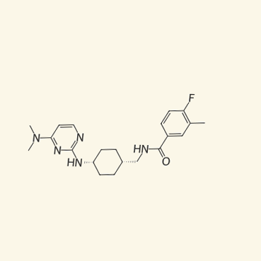 Cc1cc(C(=O)NC[C@H]2CC[C@@H](Nc3nccc(N(C)C)n3)CC2)ccc1F